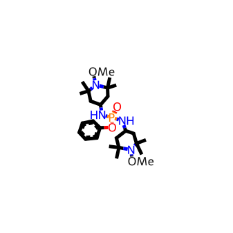 CON1C(C)(C)CC(NP(=O)(NC2CC(C)(C)N(OC)C(C)(C)C2)Oc2ccccc2)CC1(C)C